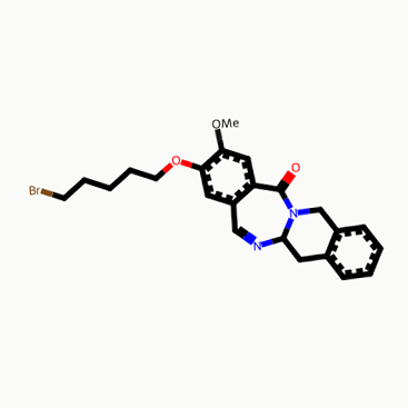 COc1cc2c(cc1OCCCCCBr)C=NC1Cc3ccccc3CN1C2=O